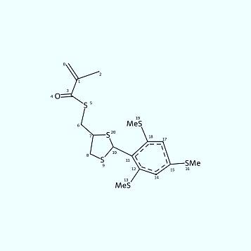 C=C(C)C(=O)SCC1CSC(c2c(SC)cc(SC)cc2SC)S1